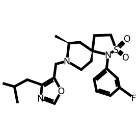 CC(C)Cc1ncoc1CN1CC[C@]2(CCS(=O)(=O)N2c2cccc(F)c2)C[C@@H]1C